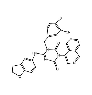 N#Cc1cc(Cn2c(Nc3ccc4c(c3)CCO4)nc(=O)n(-c3cncc4ccccc34)c2=O)ccc1F